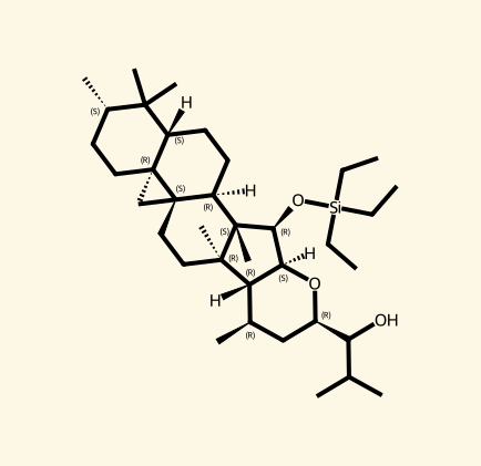 CC[Si](CC)(CC)O[C@H]1[C@H]2O[C@@H](C(O)C(C)C)C[C@@H](C)[C@@H]2[C@@]2(C)CC[C@@]34C[C@@]35CC[C@H](C)C(C)(C)[C@@H]5CC[C@H]4[C@]12C